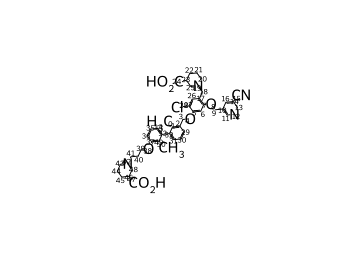 Cc1c(COc2cc(OCc3cncc(C#N)c3)c(CN3CCCC(C(=O)O)C3)cc2Cl)cccc1-c1cccc(OCCCN2CCC[C@H](C(=O)O)C2)c1C